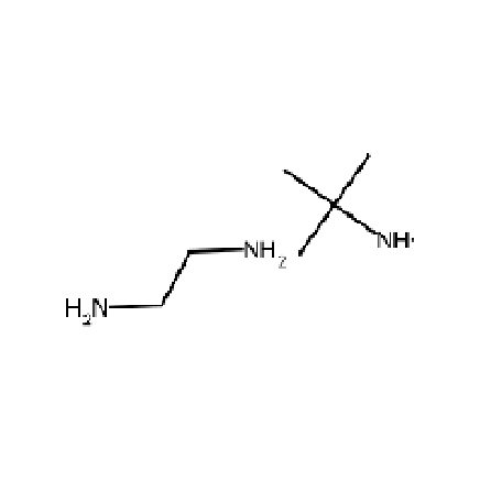 CC(C)(C)[NH].NCCN